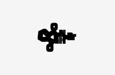 O=C1C=C(NCBr)C(=O)c2ccccc21